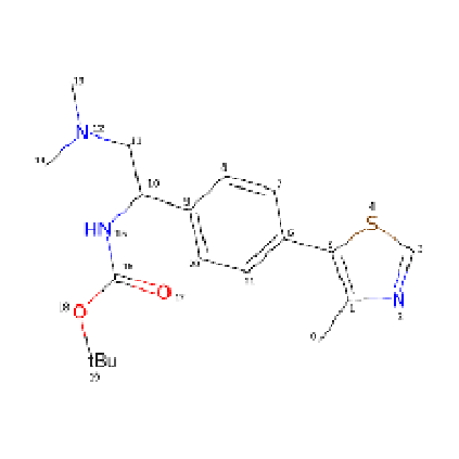 Cc1ncsc1-c1ccc(C(CN(C)C)NC(=O)OC(C)(C)C)cc1